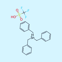 O=S(=O)(O)C(F)(F)F.c1ccc([CH2][SnH]([CH2]c2ccccc2)[CH2]c2ccccc2)cc1